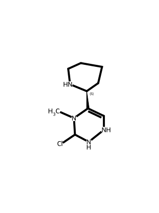 CN1C([C@@H]2CCCCN2)=CNNC1Cl